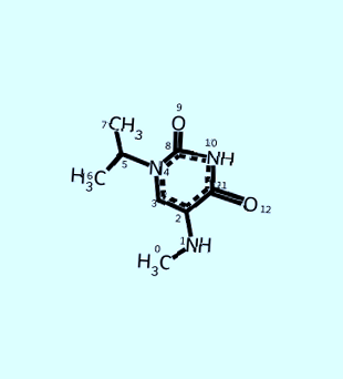 CNc1cn(C(C)C)c(=O)[nH]c1=O